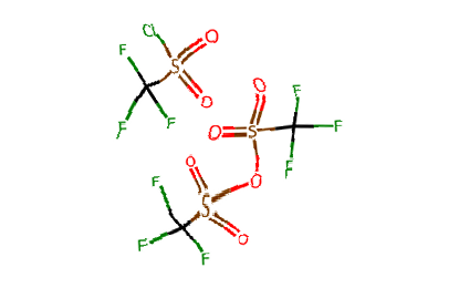 O=S(=O)(Cl)C(F)(F)F.O=S(=O)(OS(=O)(=O)C(F)(F)F)C(F)(F)F